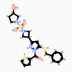 O=C(c1cccs1)n1nc(C2CN(S(=O)(=O)N3CCC(O)C3)C2)cc1SCc1ccccc1